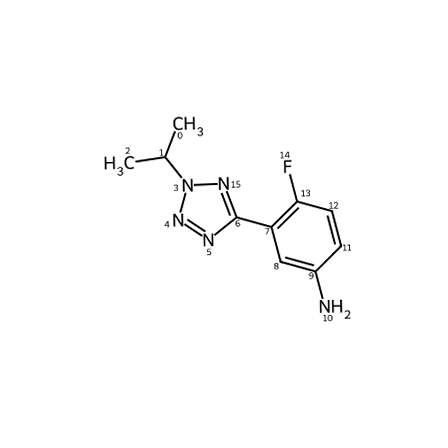 CC(C)n1nnc(-c2cc(N)ccc2F)n1